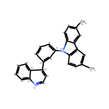 Cc1ccc2c(c1)c1cc(C)ccc1n2-c1cccc(-c2ccnc3ccccc23)c1